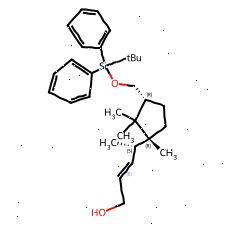 C[C@@H](/C=C/CO)[C@@]1(C)CC[C@@H](CO[Si](c2ccccc2)(c2ccccc2)C(C)(C)C)C1(C)C